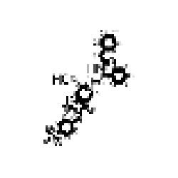 CS(=O)(=O)c1ccc(CN2C(=O)NC3(CCN(CC[C@H](NC(=O)Cc4ccccc4)c4ccccc4)CC3)C2=O)cc1.Cl